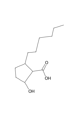 CCCCCCC1CCC(O)C1C(=O)O